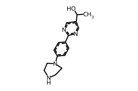 CC(O)c1cnc(-c2ccc(N3CCNCC3)cc2)nc1